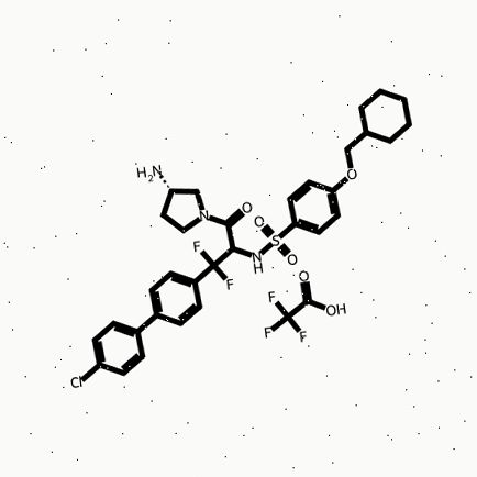 N[C@H]1CCN(C(=O)C(NS(=O)(=O)c2ccc(OCC3CCCCC3)cc2)C(F)(F)c2ccc(-c3ccc(Cl)cc3)cc2)C1.O=C(O)C(F)(F)F